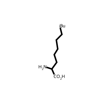 CCC(C)CCCCCC(N)C(=O)O